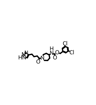 O=C(NC1CCCN(C(=O)CCCc2c[nH]nn2)CC1)OCc1cc(Cl)cc(Cl)c1